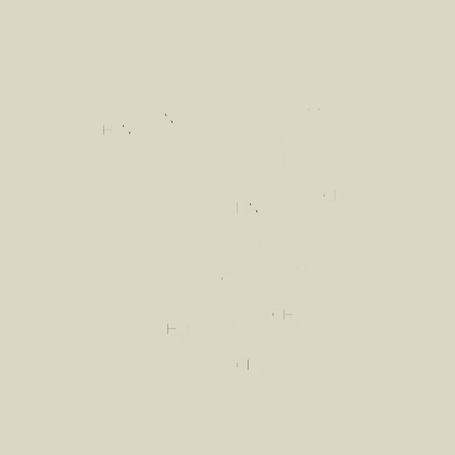 CC(NC(=O)OC(C)(C)C)C(=O)C1CCN(N)C1